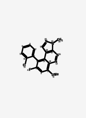 COc1cc(F)c(-c2ccccc2Cl)c2c1nnc1c2cnn1C